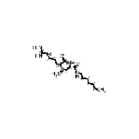 CCCCCCCNC(=O)[C@H]1CN(C)[C@@H](CCCNC(=N)N)C(=O)N1